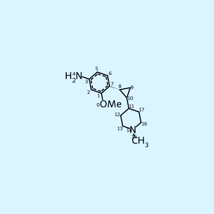 COc1cc(N)ccc1[C@@H]1CC1C1CCN(C)CC1